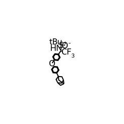 CC(C)(C)[S+]([O-])NC(c1ccc(Oc2ccc(C34CC5CC(C3)C(C5)C4)cc2)cc1)C(F)(F)F